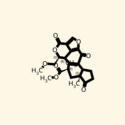 COC[C@H]1OC(=O)c2coc3c2[C@@]1(C)C1=C(C3=O)C2CCC(=O)[C@@]2(C)C[C@H]1C(=O)OC